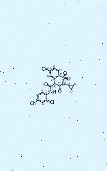 O=C(Nc1ccc(Cl)cc1Cl)C1C(=O)N(C2CC2)S(=O)(=O)c2ccc(Cl)cc21